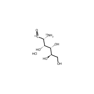 Cl.[15NH2][C@@H]([13CH]=O)[C@@H](O)[C@H](O)[C@H](O)CO